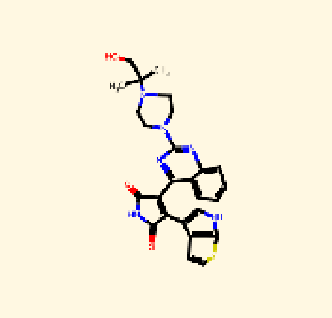 CC(C)(CO)N1CCN(c2nc(C3=C(c4c[nH]c5sccc45)C(=O)NC3=O)c3ccccc3n2)CC1